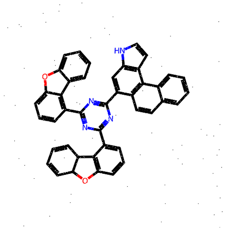 C1=CC2Oc3cccc(-c4nc(-c5cc6[nH]ccc6c6c5ccc5ccccc56)nc(-c5cccc6oc7ccccc7c56)n4)c3C2C=C1